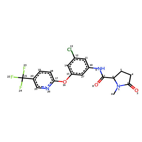 CN1C(=O)CCC1C(=O)Nc1cc(Cl)cc(Oc2ccc(C(F)(F)F)cn2)c1